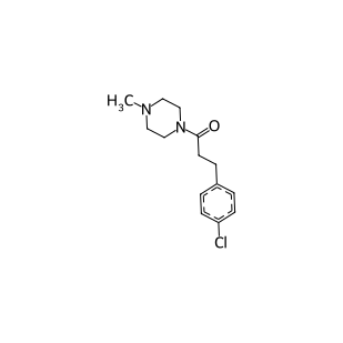 CN1CCN(C(=O)CCc2ccc(Cl)cc2)CC1